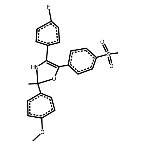 COc1ccc(C2(C)NC(c3ccc(F)cc3)=C(c3ccc(S(C)(=O)=O)cc3)O2)cc1